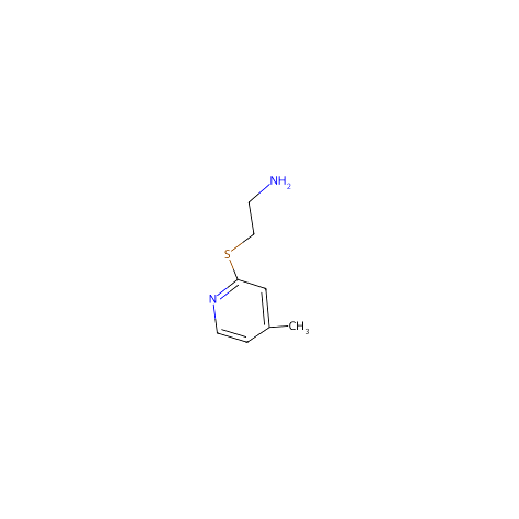 Cc1ccnc(SCCN)c1